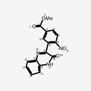 COC(=O)c1ccc([N+](=O)[O-])c(-c2nc3ccccc3[nH]c2=O)c1